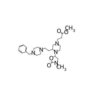 COC(=O)CCN1CCN(C2CN(C)C(=O)O2)C(CCN2CCN(Cc3ccccc3)CC2)C1